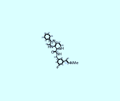 CN/C=C(\C)c1cc(F)cc(CNC(=O)C2NC=CC(N)=C2NC(C)Cc2ccccc2)c1